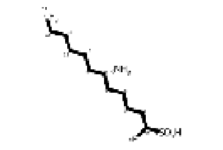 N.O=S(=O)(O)C(F)CCCCCCCCCCC(F)(F)F